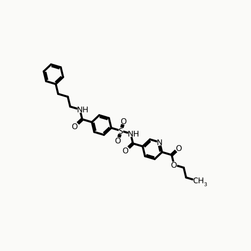 CCCOC(=O)c1ccc(C(=O)NS(=O)(=O)c2ccc(C(=O)NCCCc3ccccc3)cc2)cn1